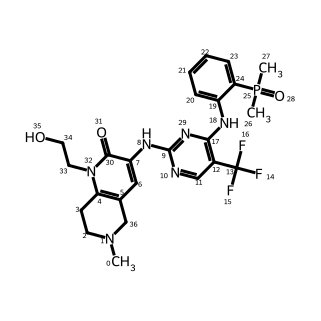 CN1CCc2c(cc(Nc3ncc(C(F)(F)F)c(Nc4ccccc4P(C)(C)=O)n3)c(=O)n2CCO)C1